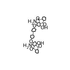 Nc1c(Oc2ccc(-c3ccc(Oc4cc(O)c5c(c4N)C(=O)c4ccccc4C5=O)cc3)cc2)cc(O)c2c1C(=O)c1ccccc1C2=O